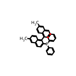 Cc1ccc2c(-c3c(P(c4ccccc4)c4ccccc4)ccc4cc(C)ccc34)cccc2c1